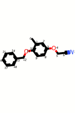 Cc1cc(OCC#N)ccc1OCc1ccccc1